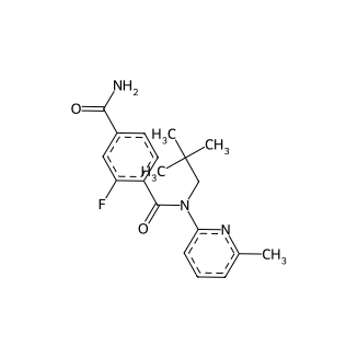 Cc1cccc(N(CC(C)(C)C)C(=O)c2ccc(C(N)=O)cc2F)n1